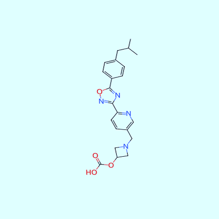 CC(C)Cc1ccc(-c2nc(-c3ccc(CN4CC(OC(=O)O)C4)cn3)no2)cc1